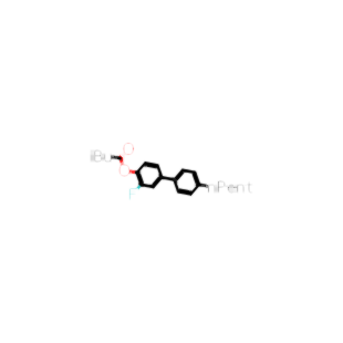 CCCCCc1ccc(-c2ccc(OC(=O)C(C)CC)c(F)c2)cc1